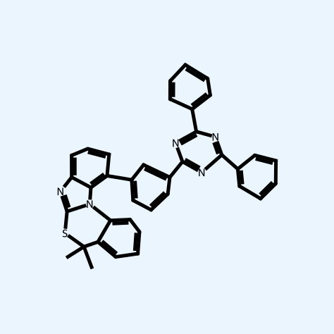 CC1(C)Sc2nc3cccc(-c4cccc(-c5nc(-c6ccccc6)nc(-c6ccccc6)n5)c4)c3n2-c2ccccc21